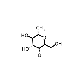 C[C@@H]1OC(CO)[C@H](O)[C@H](O)C1O